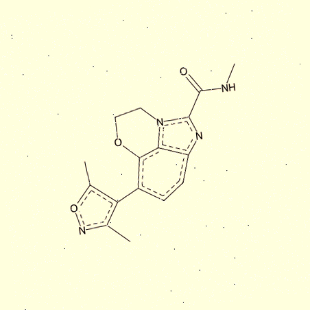 CNC(=O)c1nc2ccc(-c3c(C)noc3C)c3c2n1CCO3